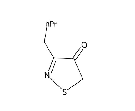 CCCCC1=NSCC1=O